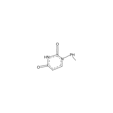 CPn1ccc(=O)[nH]c1=O